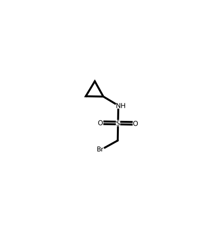 O=S(=O)(CBr)NC1CC1